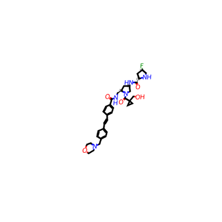 O=C(NC[C@H]1C[C@@H](NC(=O)[C@@H]2C[C@H](F)CN2)CN1C(=O)C1(CO)CC1)c1ccc(C#Cc2ccc(CN3CCOCC3)cc2)cc1